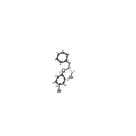 BrC[C@@H](Cc1ccccc1)Oc1ccc(Br)cc1